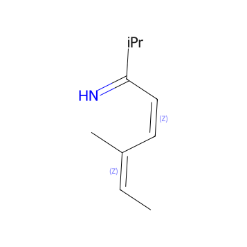 C/C=C(C)\C=C/C(=N)C(C)C